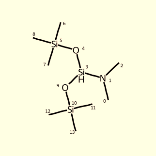 CN(C)[SiH](O[Si](C)(C)C)O[Si](C)(C)C